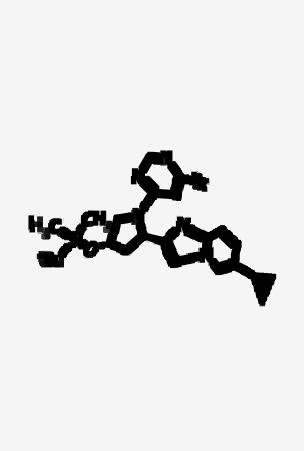 CC(C)(C)[Si](C)(C)O[C@H]1C[C@H](c2cn3cc(C4CC4)ccc3n2)N(c2cc(Br)ncn2)C1